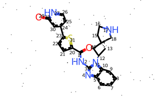 O=C(Nc1nc2ccccc2n1[C@H]1C[C@@]2(CCNC2)C1)c1ccc(-c2cc[nH]c(=O)c2)s1